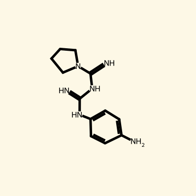 N=C(NC(=N)N1CCCC1)Nc1ccc(N)cc1